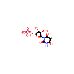 O=C1NC(=O)N([C@@H]2O[C@H](COP(=O)(O)O)[C@@H](O)[C@H]2O)C(O)C1F